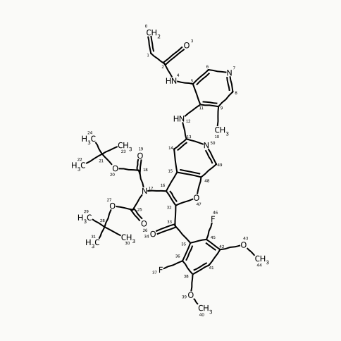 C=CC(=O)Nc1cncc(C)c1Nc1cc2c(N(C(=O)OC(C)(C)C)C(=O)OC(C)(C)C)c(C(=O)c3c(F)c(OC)cc(OC)c3F)oc2cn1